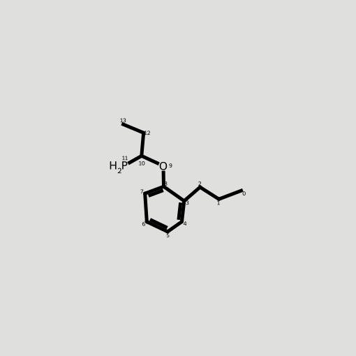 CCCc1ccccc1OC(P)CC